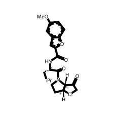 COc1ccc2oc(C(=O)N[C@@H](CC(C)C)C(=O)N3CC[C@H]4OCC(=O)[C@H]43)cc2c1